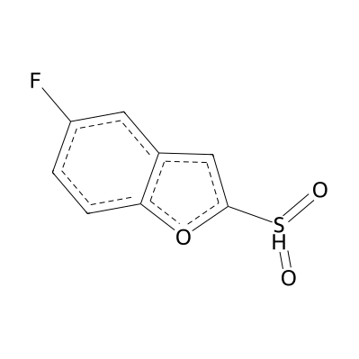 O=[SH](=O)c1cc2cc(F)ccc2o1